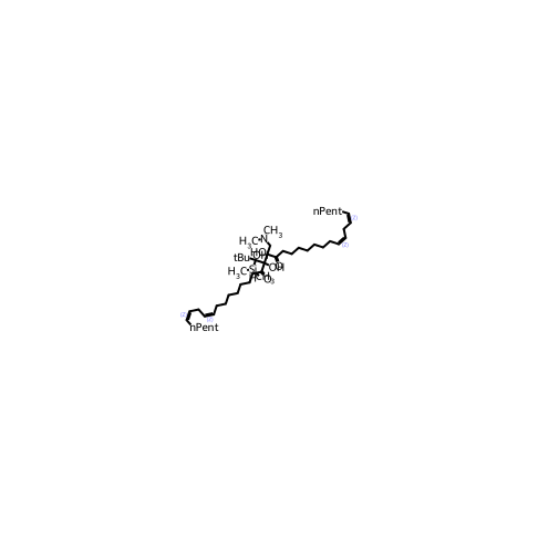 CCCCC/C=C\C/C=C\CCCCCCCC(=O)C(O)(CN(C)C)C(O)(C(=O)CCCCCCC/C=C\C/C=C\CCCCC)C(O)([SiH](C)C)C(C)(C)C